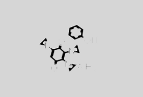 O=C1C=C(N2CC2)C(=O)C(N2CC2)=C1N1CC1.Oc1ccccc1.[AlH3]